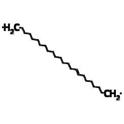 [CH2]CCCCCC/C=C/CCCCCCCCCCCCCC[CH2]